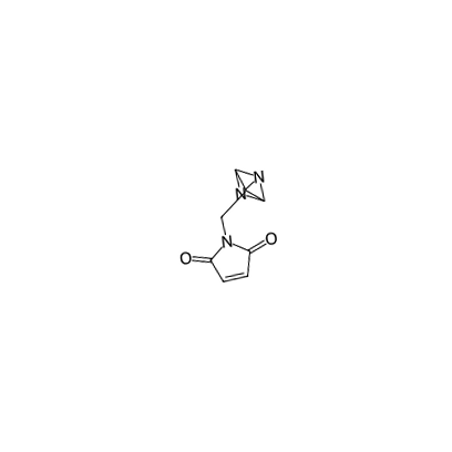 O=C1C=CC(=O)N1CC1C2N3C1N23